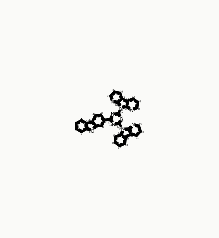 c1ccc2c(c1)oc1cc(-c3nc(-n4c5ccccc5c5cccnc54)nc(-n4c5ncccc5c5cccnc54)n3)ccc12